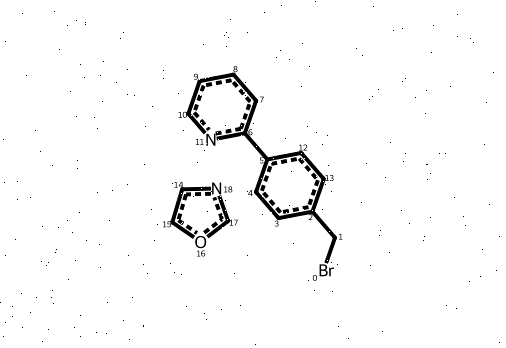 BrCc1ccc(-c2ccccn2)cc1.c1cocn1